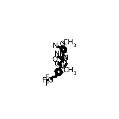 COc1ccc(-c2nn3c(c2C(N)=O)C(=O)N(c2ccc(CCOC(F)(F)F)cc2)C(C)C3)cc1C#N